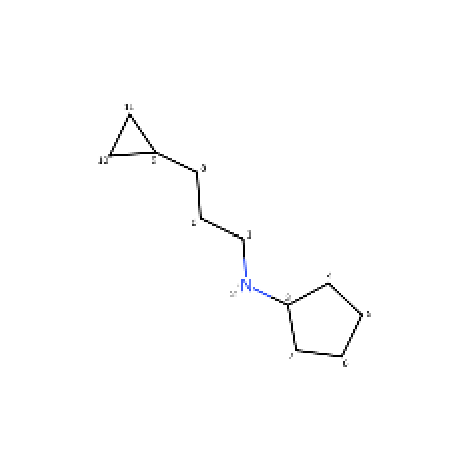 C(C[N]C1CCCC1)CC1CC1